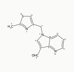 Cc1nc(Cn2cc(C=O)c3ncccc32)cs1